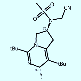 C[C@@H]1N=C(C(C)(C)C)N2C[C@@H](N(CC#N)S(C)(=O)=O)CC2=C1C(C)(C)C